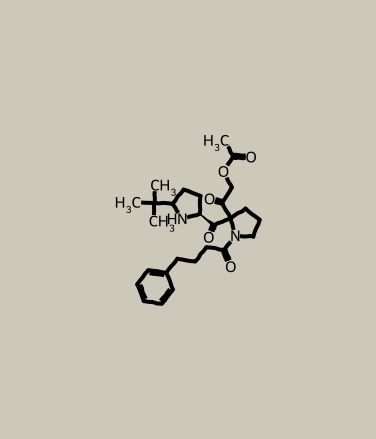 CC(=O)OCC(=O)C1(C(=O)[C@@H]2CCC(C(C)(C)C)N2)CCCN1C(=O)CCCc1ccccc1